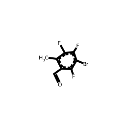 Cc1c(F)c(F)c(Br)c(F)c1C=O